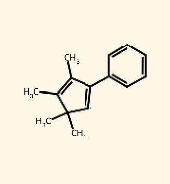 CC1=C(C)C(C)(C)[C]=C1c1ccccc1